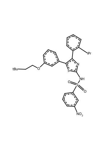 CC(C)c1ccccc1-c1nc(NS(=O)(=O)c2cccc([N+](=O)[O-])c2)sc1-c1cccc(OCCC(C)(C)C)c1